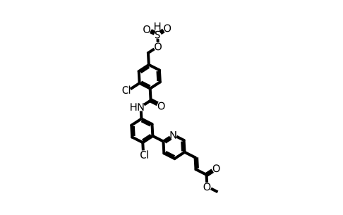 COC(=O)/C=C/c1ccc(-c2cc(NC(=O)c3ccc(CO[SH](=O)=O)cc3Cl)ccc2Cl)nc1